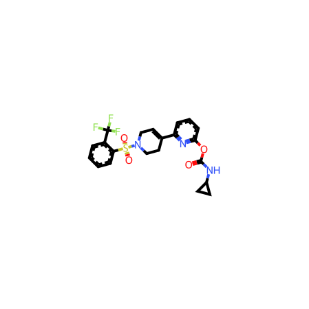 O=C(NC1CC1)Oc1cccc(C2=CCN(S(=O)(=O)c3ccccc3C(F)(F)F)CC2)n1